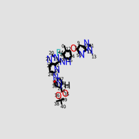 Cc1c(Oc2cnc3c(c2)ncn3C)ccc(Nc2ncnc3ccc(N4C[C@H]5CCC4CN5C(=O)OC(C)(C)C)nc23)c1F